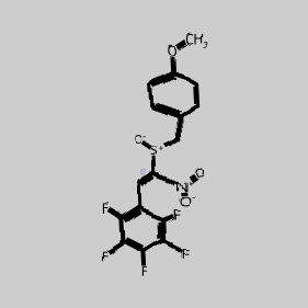 COc1ccc(C[S+]([O-])/C(=C/c2c(F)c(F)c(F)c(F)c2F)[N+](=O)[O-])cc1